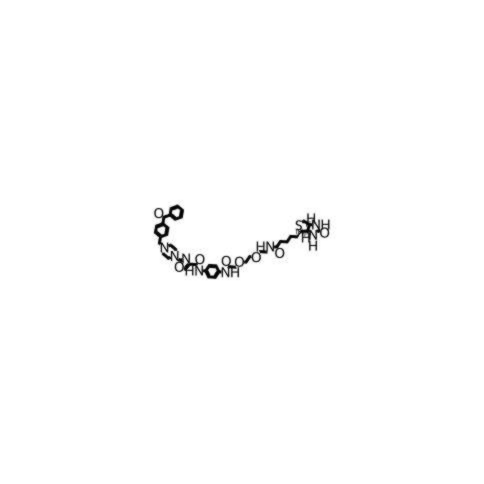 O=C(CCCC[C@H]1SC[C@H]2NC(=O)N[C@H]21)NCCOCCOCC(=O)Nc1ccc(NC(=O)c2coc(N3CCN(Cc4ccc(C(=O)c5ccccc5)cc4)CC3)n2)cc1